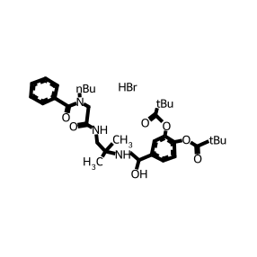 Br.CCCCN(CC(=O)NCC(C)(C)NCC(O)c1ccc(OC(=O)C(C)(C)C)c(OC(=O)C(C)(C)C)c1)C(=O)c1ccccc1